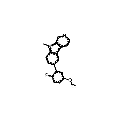 CCOc1ccc(F)c(-c2ccc3c(c2)c2ccncc2n3C)c1